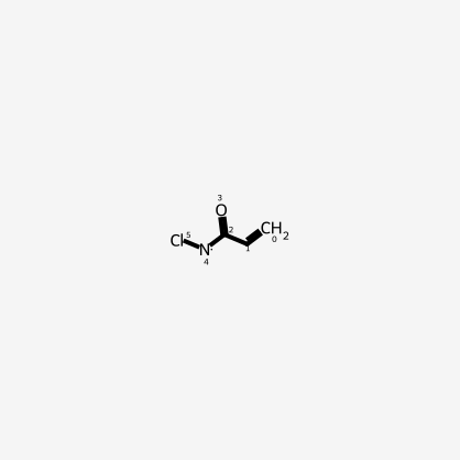 C=CC(=O)[N]Cl